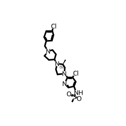 C[C@H]1CN(c2ncc(NS(C)(=O)=O)cc2Cl)CCN1C1CCN(Cc2ccc(Cl)cc2)CC1